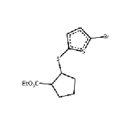 CCOC(=O)C1CCCC1Sc1ccc(Br)s1